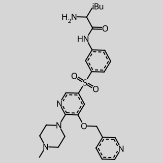 CCC(C)C(N)C(=O)Nc1cccc(S(=O)(=O)c2cnc(N3CCN(C)CC3)c(OCc3cccnc3)c2)c1